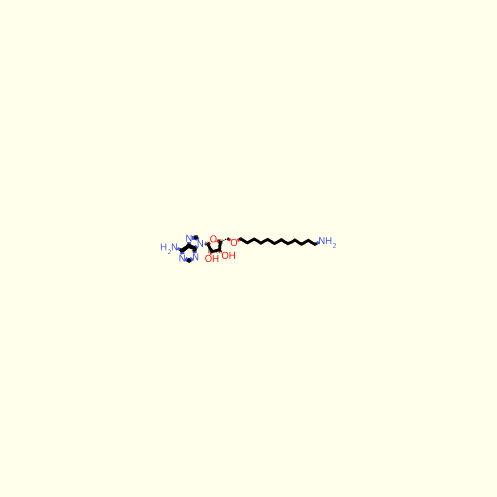 NCCCCCCCCCCCCOC[C@H]1O[C@@H](n2cnc3c(N)ncnc32)[C@H](O)[C@@H]1O